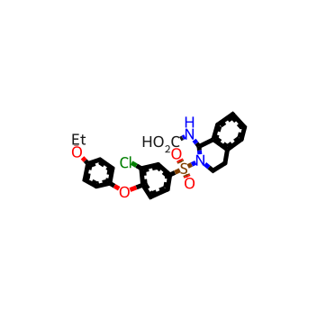 CCOc1ccc(Oc2ccc(S(=O)(=O)N3CCc4ccccc4C3NC(=O)O)cc2Cl)cc1